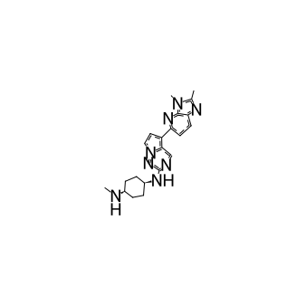 CN[C@H]1CC[C@@H](Nc2ncc3c(-c4ccc5nc(C)n(C)c5n4)ccn3n2)CC1